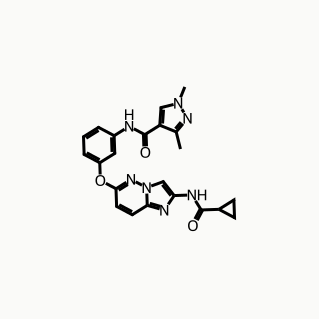 Cc1nn(C)cc1C(=O)Nc1cccc(Oc2ccc3nc(NC(=O)C4CC4)cn3n2)c1